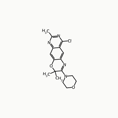 Cc1nc(Cl)c2cc3c(cc2n1)OC(C)(C)C(N1CCOCC1)=N3